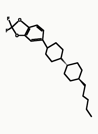 CCCCC[C@H]1CC[C@H](C2CCC(c3ccc4c(c3)OC(F)(F)O4)CC2)CC1